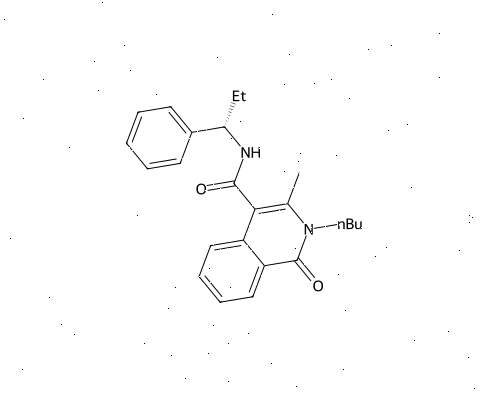 CCCCn1c(C)c(C(=O)N[C@@H](CC)c2ccccc2)c2ccccc2c1=O